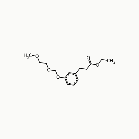 CCOC(=O)CCc1cccc(OCOCCOC)c1